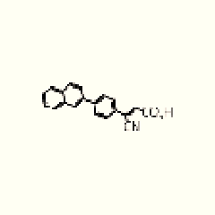 N#CC(=CC(=O)O)c1ccc(-c2ccc3ccccc3c2)cc1